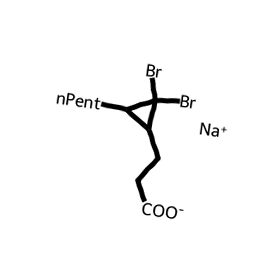 CCCCCC1C(CCC(=O)[O-])C1(Br)Br.[Na+]